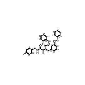 Cc1ccc(CNC(=O)NC(Cc2cccc(OCc3ccccc3)c2)C(=O)OCc2ccccc2)cc1